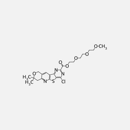 COCCOCCOCCOC(=O)c1nc(Cl)c2sc3nc4c(cc3c2n1)COC(C)(C)C4